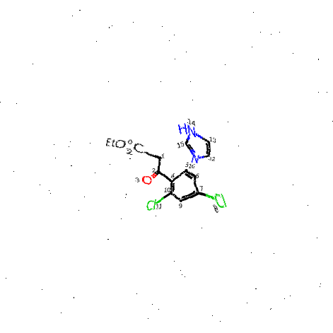 CCOC(=O)CC(=O)c1ccc(Cl)cc1Cl.c1c[nH]cn1